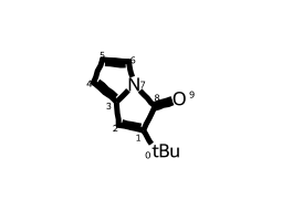 CC(C)(C)C1=Cc2cccn2C1=O